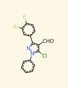 O=Cc1c(-c2ccc(F)c(F)c2)nn(-c2ccccc2)c1Cl